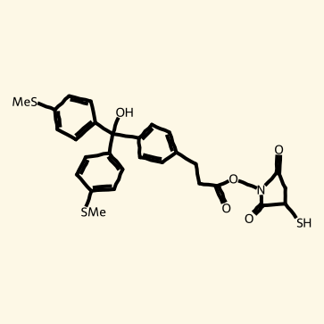 CSc1ccc(C(O)(c2ccc(CCC(=O)ON3C(=O)CC(S)C3=O)cc2)c2ccc(SC)cc2)cc1